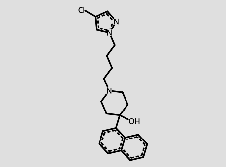 OC1(c2cccc3ccccc23)CCN(CCCCn2cc(Cl)cn2)CC1